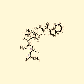 C=C(/C=C(F)\C=C(/C)F)[C@@H]1CC[C@H]2OC3(CCN(C(=O)c4cnc5cnccn45)CC3)C(=O)N21